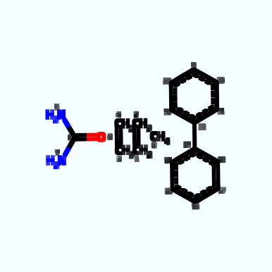 C.C=C.C=C.NC(N)=O.c1ccc(-c2ccccc2)cc1